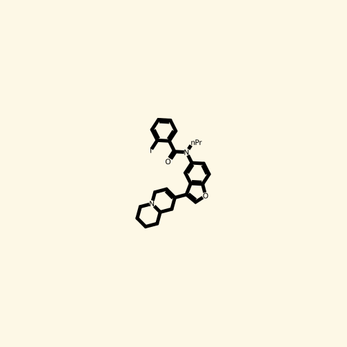 CCCN(C(=O)c1ccccc1I)c1ccc2occ(C3=CCN4CCCCC4C3)c2c1